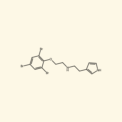 Brc1cc(Br)c(OCCNCCc2cc[nH]c2)c(Br)c1